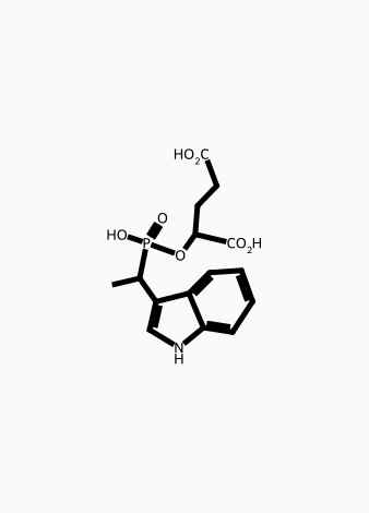 CC(c1c[nH]c2ccccc12)P(=O)(O)OC(CCC(=O)O)C(=O)O